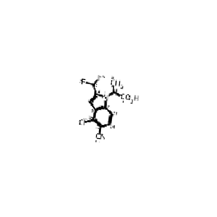 CC(C(=O)O)n1c(C(F)F)cc2c(Cl)c(C#N)ccc21